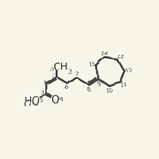 C/C(=C/C(=O)O)CCC=C1CCCCCC1